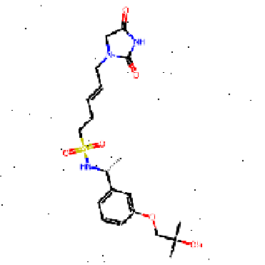 C[C@@H](NS(=O)(=O)CC/C=C/CN1CC(=O)NC1=O)c1cccc(OCC(C)(C)O)c1